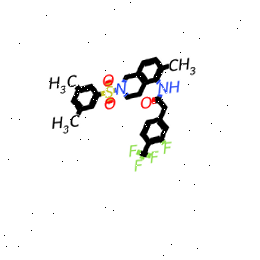 Cc1cc(C)cc(S(=O)(=O)N2CCc3c(ccc(C)c3NC(=O)Cc3ccc(C(F)(F)F)c(F)c3)C2)c1